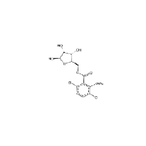 COc1c(Cl)ccc(Cl)c1C(=O)OC[C@H]1O[C@@H](O)[C@H](O)[C@@H]1O